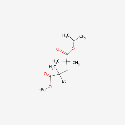 CCC(C)(CC(C)(C)C(=O)OC(C)C(F)(F)F)C(=O)OC(C)(C)C